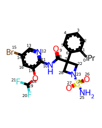 CC(C)c1ccccc1C1(C(=O)Nc2ncc(Br)cc2OC(F)F)CN(S(N)(=O)=O)C1